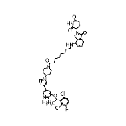 C[C@@H](Oc1cc(-c2cnn(C3CCN(C(=O)CCCCCCCNc4cccc5c4CN(C4CCC(=O)NC4=O)C5=O)CC3)c2)cnc1N)c1c(Cl)ccc(F)c1Cl